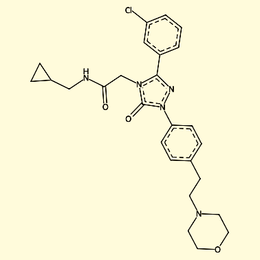 O=C(Cn1c(-c2cccc(Cl)c2)nn(-c2ccc(CCN3CCOCC3)cc2)c1=O)NCC1CC1